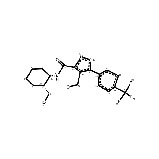 O=C(N[C@H]1CCCC[C@H]1CO)c1noc(-c2ccc(C(F)(F)F)cc2)c1CO